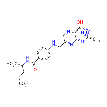 C=C(N)/N=C1/N=C(CNc2ccc(C(=O)NC(CCC(=O)O)C(=O)O)cc2)C=N/C1=C(/N)O